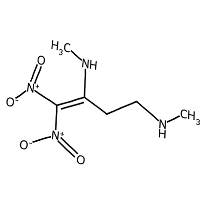 CNCCC(NC)=C([N+](=O)[O-])[N+](=O)[O-]